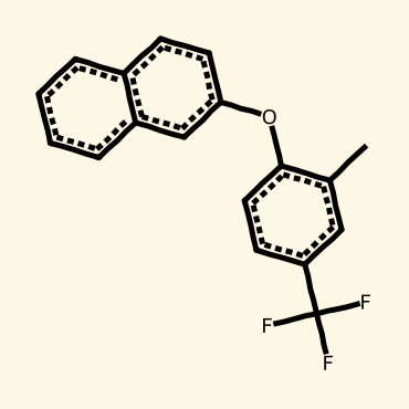 Cc1cc(C(F)(F)F)ccc1Oc1ccc2ccccc2c1